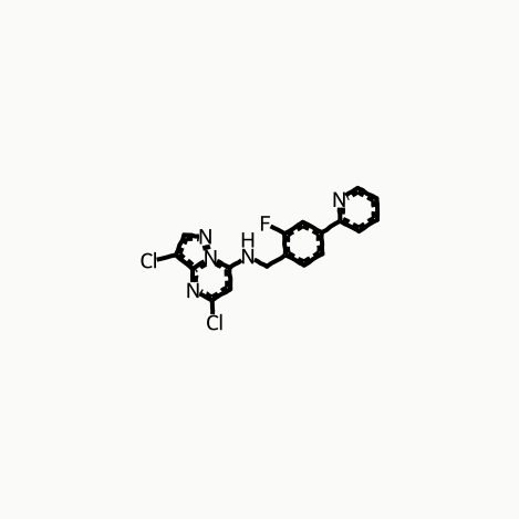 Fc1cc(-c2ccccn2)ccc1CNc1cc(Cl)nc2c(Cl)cnn12